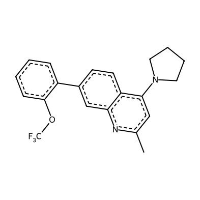 Cc1cc(N2CCCC2)c2ccc(-c3ccccc3OC(F)(F)F)cc2n1